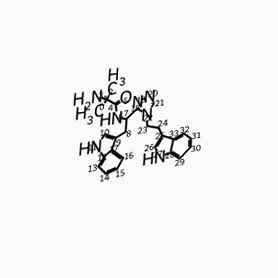 CC(C)(N)C(=O)NC(Cc1c[nH]c2ccccc12)c1nncn1CCc1c[nH]c2ccccc12